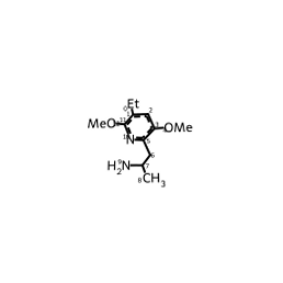 CCc1cc(OC)c(CC(C)N)nc1OC